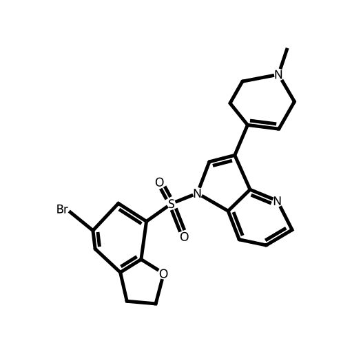 CN1CC=C(c2cn(S(=O)(=O)c3cc(Br)cc4c3OCC4)c3cccnc23)CC1